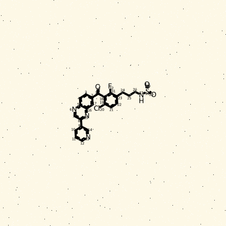 O=C(c1ccc2ncc(-c3cccnc3)nc2c1)c1c(Cl)ccc(CCCN[SH](=O)=O)c1F